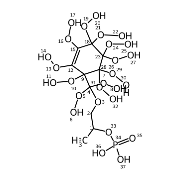 CC(COC(OO)(OO)C1(OO)C(OO)=C(OO)C(OO)(OO)C(OO)(OO)C1(OO)OO)OP(=O)(O)O